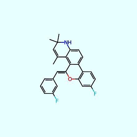 CC1=CC(C)(C)Nc2ccc3c(c21)C(=Cc1cccc(F)c1)Oc1cc(F)ccc1-3